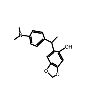 CC(c1ccc(N(C)C)cc1)c1cc2c(cc1O)OCO2